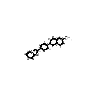 Cc1ccc2cc(-c3ccc(-c4cn5ccccc5n4)cc3)ccc2c1